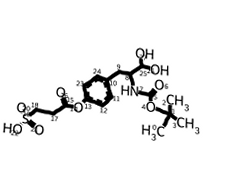 CC(C)(C)OC(=O)NC(Cc1ccc(OC(=O)CCS(=O)(=O)O)cc1)C(O)O